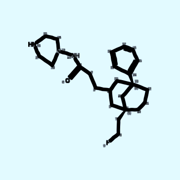 O=C(CCC1C[C@@]2(CCF)CCC[C@@](c3ccccc3)(C1)C2)NN1CCNCC1